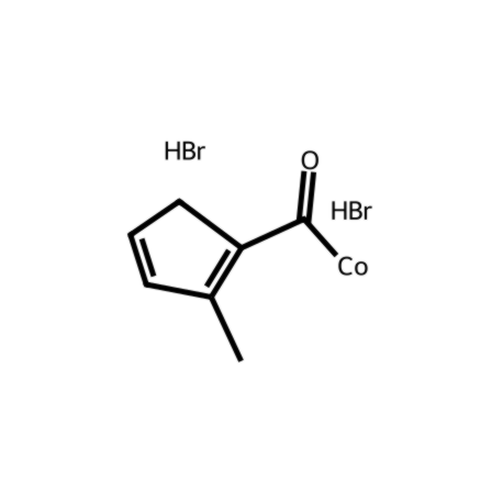 Br.Br.CC1=C([C](=O)[Co])CC=C1